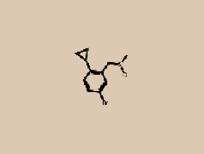 C[S+]([O-])Cc1cc(Br)ccc1C1[CH]C1